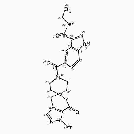 CC(C)n1ncc2c1C(=O)CC1(CCN(C(=O)c3ccc4[nH]nc(C(=O)NCC(F)(F)F)c4c3)CC1)C2